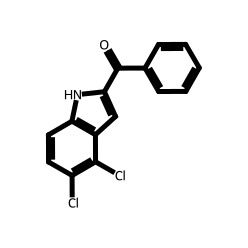 O=C(c1ccccc1)c1cc2c(Cl)c(Cl)ccc2[nH]1